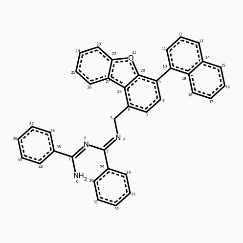 N/C(=N\C(=N/Cc1ccc(-c2cccc3ccccc23)c2oc3ccccc3c12)c1ccccc1)c1ccccc1